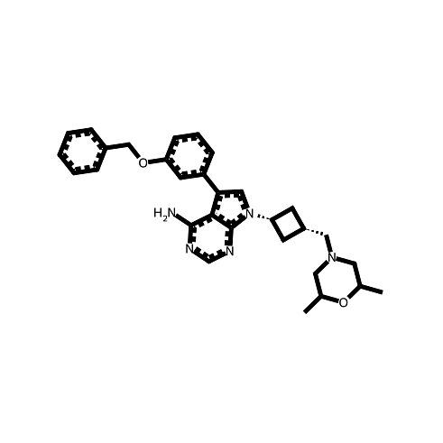 CC1CN(C[C@H]2C[C@@H](n3cc(-c4cccc(OCc5ccccc5)c4)c4c(N)ncnc43)C2)CC(C)O1